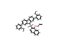 C=CCOc1c([Si](C)(C)C2c3cc(-c4ccccc4CC)ccc3-c3ccc(-c4ccccc4CC)cc32)ccc2ccccc12